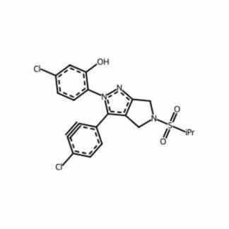 CC(C)S(=O)(=O)N1Cc2nn(-c3ccc(Cl)cc3O)c(-c3c#cc(Cl)cc3)c2C1